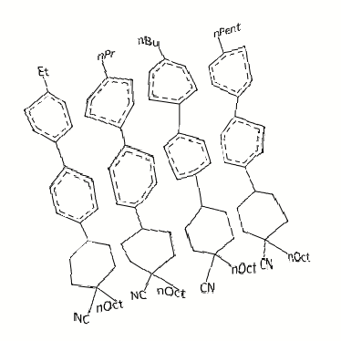 CCCCCCCCC1(C#N)CCC(c2ccc(-c3ccc(CC)cc3)cc2)CC1.CCCCCCCCC1(C#N)CCC(c2ccc(-c3ccc(CCC)cc3)cc2)CC1.CCCCCCCCC1(C#N)CCC(c2ccc(-c3ccc(CCCC)cc3)cc2)CC1.CCCCCCCCC1(C#N)CCC(c2ccc(-c3ccc(CCCCC)cc3)cc2)CC1